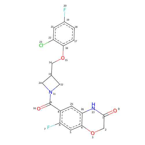 O=C1COc2cc(F)c(C(=O)N3CC(COc4ccc(F)cc4Cl)C3)cc2N1